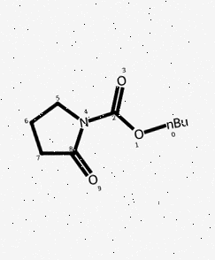 [CH2]CCCOC(=O)N1CCCC1=O